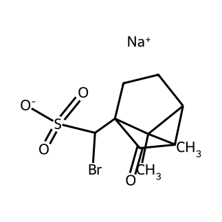 CC1(C)C2CCC1(C(Br)S(=O)(=O)[O-])C(=O)C2.[Na+]